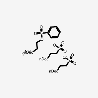 CCCCCCCCCCCCOS(=O)(=O)c1ccccc1.CCCCCCCCCCCCS(=O)(=O)[O-].CCCCCCCCCCCCS(=O)(=O)[O-].[K+].[Na+]